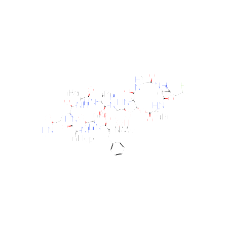 CCCCCCC[C@H](NC(=O)[C@H](CCC)NC(=O)[C@@H](Cc1ccccc1)NC)C(=O)N[C@H](CCC(N)=O)C(=O)N[C@@H](C(=O)N[C@H](C(=O)N[C@@H](CO)C(=O)N[C@H]1C(=O)N[C@@H](C)C(=O)N[C@@]2(C[C@H]2CC(F)F)C(=O)N[C@@H]([C@@H](C)CC)C(=O)O[C@H]1C)[C@@H](C)CC)[C@@H](C)CC